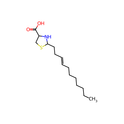 CCCCCCCC=CCCC1NC(C(=O)O)CS1